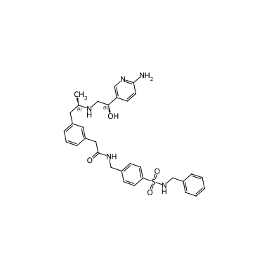 C[C@H](Cc1cccc(CC(=O)NCc2ccc(S(=O)(=O)NCc3ccccc3)cc2)c1)NC[C@H](O)c1ccc(N)nc1